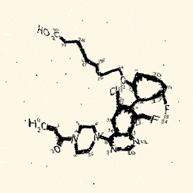 C=CC(=O)N1CCN(c2ncnc3c(F)c(-c4c(F)cccc4OCCCCCCC(=O)O)c(Cl)cc23)CC1